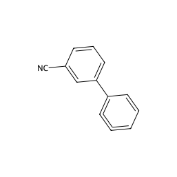 N#Cc1cccc(C2=C=C=CC=C2)c1